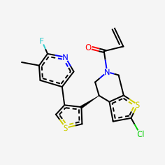 C=CC(=O)N1Cc2sc(Cl)cc2[C@@H](c2cscc2-c2cnc(F)c(C)c2)C1